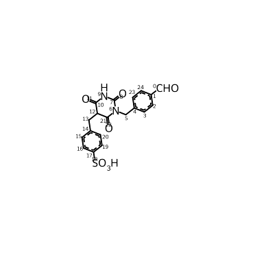 O=Cc1ccc(CN2C(=O)NC(=O)C(Cc3ccc(S(=O)(=O)O)cc3)C2=O)cc1